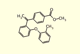 C=C(c1ccc(C(=O)OC)cc1)c1ccccc1Oc1ccccc1C